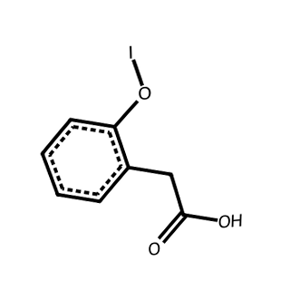 O=C(O)Cc1ccccc1OI